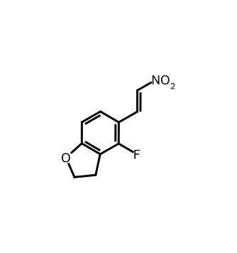 O=[N+]([O-])/C=C/c1ccc2c(c1F)CCO2